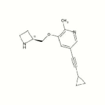 Cc1ncc(C#CC2CC2)cc1OC[C@@H]1CCN1